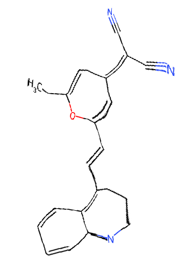 CC1=CC(=C(C#N)C#N)C=C(/C=C/C2=C3C=CC=CC34CCCCN4CC2)O1